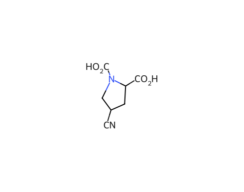 N#CC1CC(C(=O)O)N(C(=O)O)C1